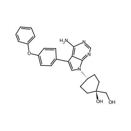 Nc1ncnc2c1c(-c1ccc(Oc3ccccc3)cc1)cn2[C@H]1CC[C@@](O)(CO)CC1